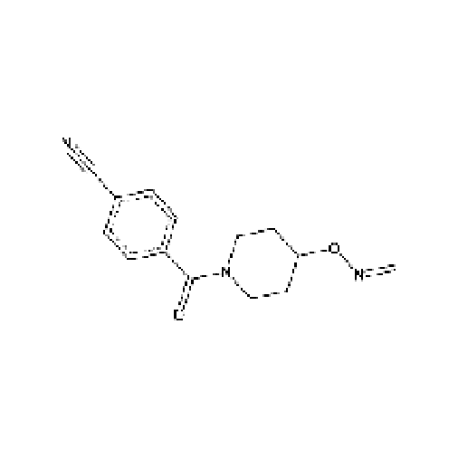 C=NOC1CCN(C(=O)c2ccc(C#N)cc2)CC1